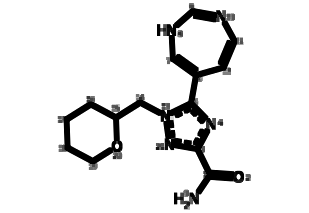 NC(=O)c1nc(C2=CNC=NC=C2)n(CC2CCCCO2)n1